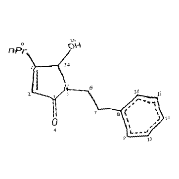 CCCC1=CC(=O)N(CCc2ccccc2)C1O